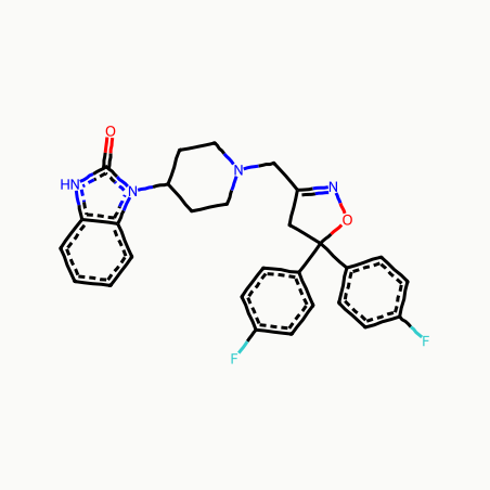 O=c1[nH]c2ccccc2n1C1CCN(CC2=NOC(c3ccc(F)cc3)(c3ccc(F)cc3)C2)CC1